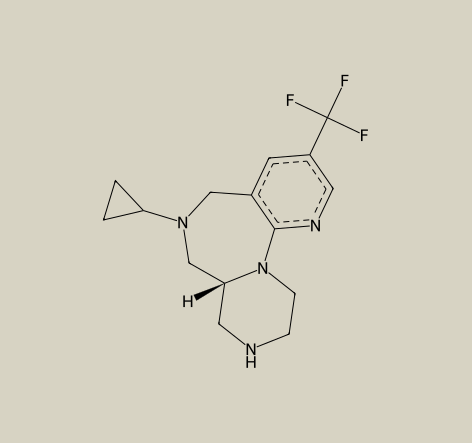 FC(F)(F)c1cnc2c(c1)CN(C1CC1)C[C@H]1CNCCN21